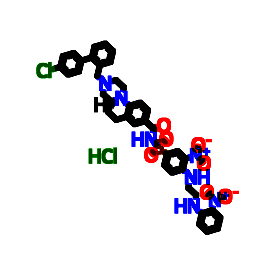 Cl.O=C(NS(=O)(=O)c1ccc(NCCNc2ccccc2[N+](=O)[O-])c([N+](=O)[O-])c1)c1ccc2c(c1)CC[C@H]1CN(Cc3ccccc3-c3ccc(Cl)cc3)CCN21